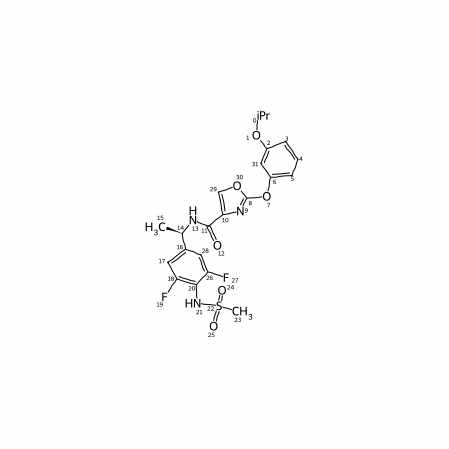 CC(C)Oc1cccc(Oc2nc(C(=O)N[C@H](C)c3cc(F)c(NS(C)(=O)=O)c(F)c3)co2)c1